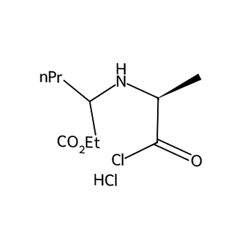 CCCC(N[C@@H](C)C(=O)Cl)C(=O)OCC.Cl